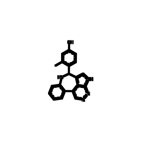 Cc1cc(O)ccc1C1Nc2ccccc2-c2cnnc3[nH]cc1c23